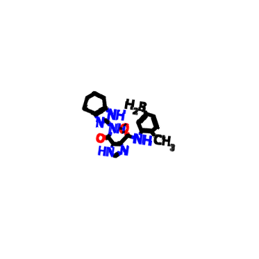 Bc1ccc(C)c(NC(=O)c2nc[nH]c2C(=O)Nc2nc3c([nH]2)CCCC3)c1